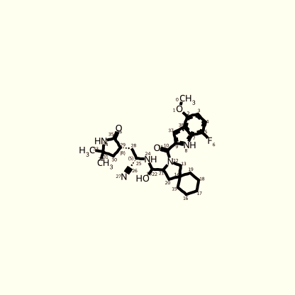 COc1ccc(F)c2[nH]c(C(=O)N3CC4(CCCCC4)CC3C(O)N[C@H](C#N)C[C@@H]3CC(C)(C)NC3=O)cc12